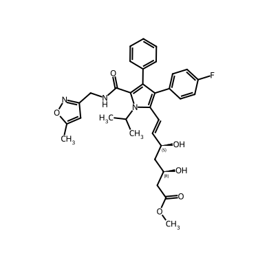 COC(=O)C[C@H](O)C[C@H](O)C=Cc1c(-c2ccc(F)cc2)c(-c2ccccc2)c(C(=O)NCc2cc(C)on2)n1C(C)C